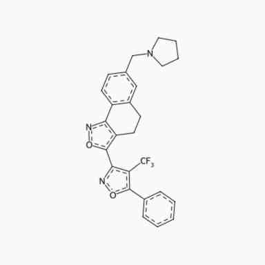 FC(F)(F)c1c(-c2onc3c2CCc2cc(CN4CCCC4)ccc2-3)noc1-c1ccccc1